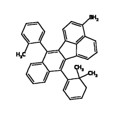 Bc1ccc2c3c(cccc13)-c1c-2c(-c2ccccc2C)c2ccccc2c1C1=CC=CCC1(C)C